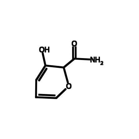 NC(=O)C1OC=CC=C1O